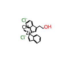 C[CH]=[Zr+2][C]1(C2C=C(CCO)c3ccccc32)C=Cc2ccccc21.[Cl-].[Cl-]